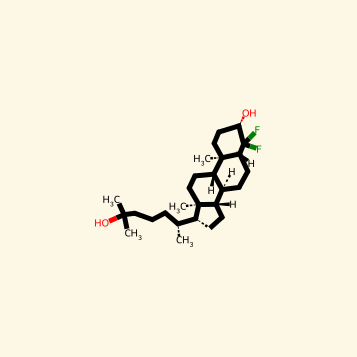 C[C@H](CCCC(C)(C)O)[C@H]1CC[C@H]2[C@@H]3CC[C@H]4C(F)(F)[C@@H](O)CC[C@]4(C)[C@H]3CC[C@]12C